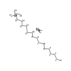 CCCCCCCCCCCCCCCC[N+](C)(C)C.[C-]#N